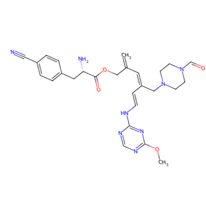 C=C(/C=C(\C=C\Nc1ncnc(OC)n1)CN1CCN(C=O)CC1)COC(=O)[C@@H](N)Cc1ccc(C#N)cc1